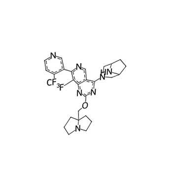 Fc1c(-c2cnccc2C(F)(F)F)ncc2c(N3CC4CCC(C3)N4)nc(OCC34CCCN3CCC4)nc12